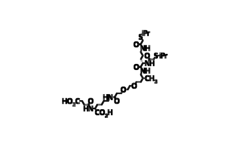 CC(CCOCCOCCC(=O)NCCCC[C@H](NC(=O)CCC(=O)O)C(=O)O)CNC(=O)[C@H](CCCNC(=O)CSC(C)C)NC(=O)CSC(C)C